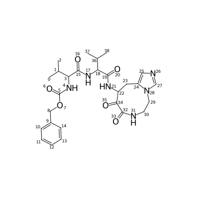 CC(C)C(NC(=O)OCc1ccccc1)C(=O)NC(C(=O)NC1Cc2cncn2CCNC(=O)C1=O)C(C)C